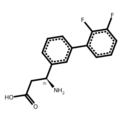 N[C@@H](CC(=O)O)c1cccc(-c2cccc(F)c2F)c1